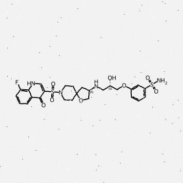 NS(=O)(=O)c1cccc(OC[C@@H](O)CN[C@H]2COC3(CCN(S(=O)(=O)c4c[nH]c5c(F)cccc5c4=O)CC3)C2)c1